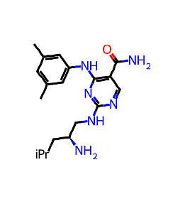 Cc1cc(C)cc(Nc2nc(NC[C@@H](N)CC(C)C)ncc2C(N)=O)c1